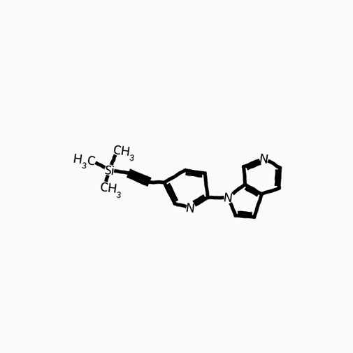 C[Si](C)(C)C#Cc1ccc(-n2ccc3ccncc32)nc1